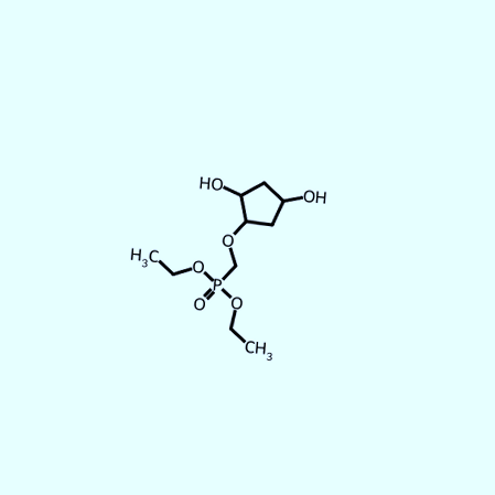 CCOP(=O)(COC1CC(O)CC1O)OCC